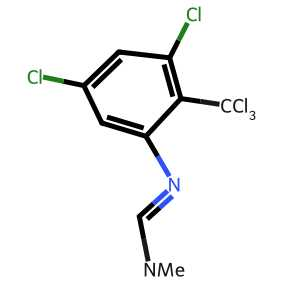 CNC=Nc1cc(Cl)cc(Cl)c1C(Cl)(Cl)Cl